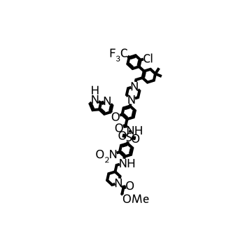 COCC(=O)N1CCCC(CNc2ccc(S(=O)(=O)NC(=O)c3ccc(N4CCN(CC5=C(c6ccc(C(F)(F)F)cc6Cl)CC(C)(C)CC5)CC4)cc3Oc3cnc4[nH]ccc4c3)cc2[N+](=O)[O-])C1